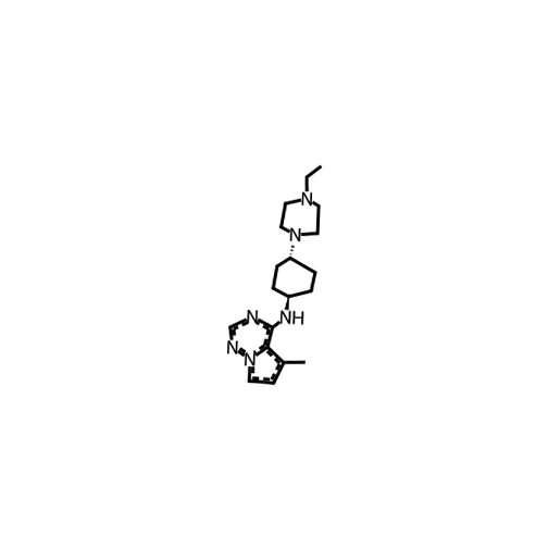 CCN1CCN([C@H]2CC[C@H](Nc3ncnn4ccc(C)c34)CC2)CC1